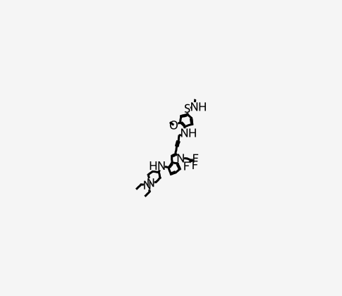 CCN(CC)N1CCC(Nc2cccc3c2cc(C#CCNc2ccc(SNC)cc2OC)n3CC(F)(F)F)CC1